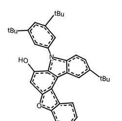 CC(C)(C)c1cc(-n2c3ccc(C(C)(C)C)cc3c3c4c(cc(O)c32)oc2ccccc24)cc(C(C)(C)C)c1